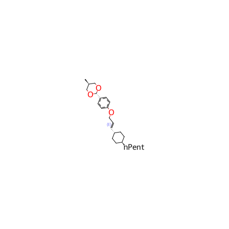 CCCCC[C@H]1CC[C@H](/C=C/COc2ccc([C@H]3OC[C@H](C)CO3)cc2)CC1